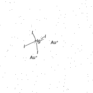 [Au+].[Au+].[I][Hg-2]([I])([I])[I]